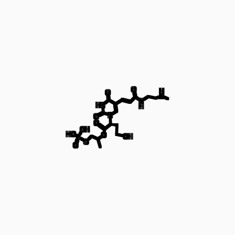 CNCCNC(=O)/C=C/c1cn([C@@H](CCO)C(=O)OC(C)COP(=O)(O)O)c(=O)[nH]c1=O